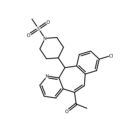 CC(=O)C1=Cc2cc(Cl)ccc2C(C2CCN(S(C)(=O)=O)CC2)c2ncccc21